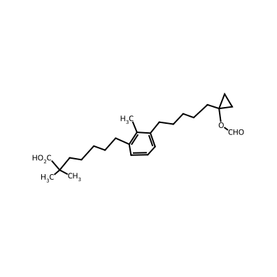 Cc1c(CCCCCC2(OC=O)CC2)cccc1CCCCCC(C)(C)C(=O)O